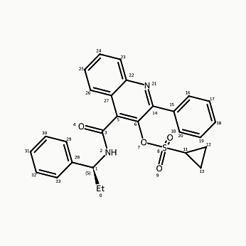 CC[C@H](NC(=O)c1c(OS(=O)(=O)C2CC2)c(-c2ccccc2)nc2ccccc12)c1ccccc1